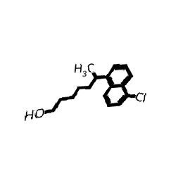 CC(CCCCCO)c1cccc2c(Cl)cccc12